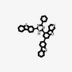 c1ccc(C2=NC(c3ccc4c(c3)sc3ccccc34)NC(c3cc(-c4ccc5c(c4)sc4ccccc45)cc4oc5cnccc5c34)=N2)cc1